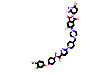 N#Cc1ccc(OC2CCC(NC(=O)c3ccc(N4CCC(CN5CCN(c6cc7c(cc6F)C(=O)N([C@@H]6CCC(=O)NC6=O)C7=O)CC5)CC4)nn3)CC2)cc1Cl